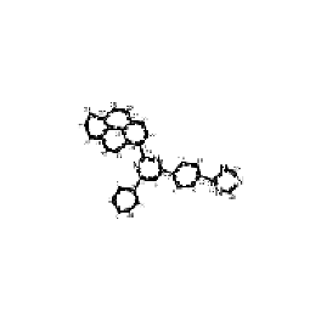 c1ccc(-c2cc(-c3ccc(-c4ncncn4)cc3)nc(-c3ccc4ccc5cccc6ccc3c4c56)n2)cc1